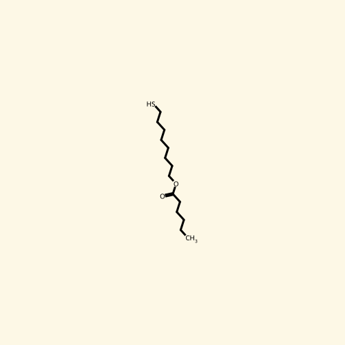 CCCCCC(=O)OCCCCCCCCS